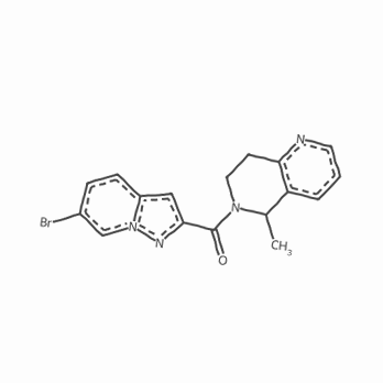 CC1c2cccnc2CCN1C(=O)c1cc2ccc(Br)cn2n1